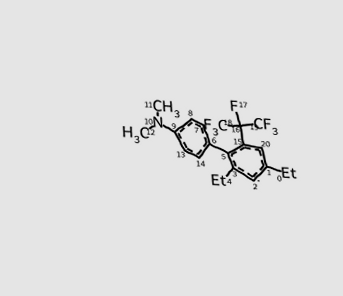 CCc1[c]c(CC)c(-c2ccc(N(C)C)cc2)c(C(F)(C(F)(F)F)C(F)(F)F)c1